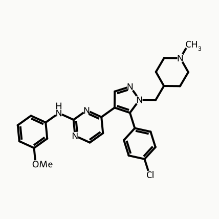 COc1cccc(Nc2nccc(-c3cnn(CC4CCN(C)CC4)c3-c3ccc(Cl)cc3)n2)c1